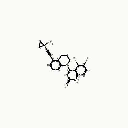 O=c1nc(N2CCCc3c(C#CC4(C(F)(F)F)CC4)cccc32)c2c(F)c(F)ccc2[nH]1